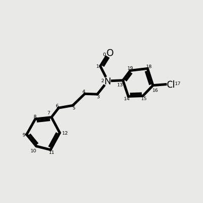 O=CN(CCCCc1ccccc1)c1ccc(Cl)cc1